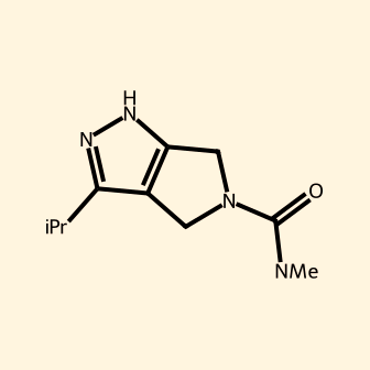 CNC(=O)N1Cc2[nH]nc(C(C)C)c2C1